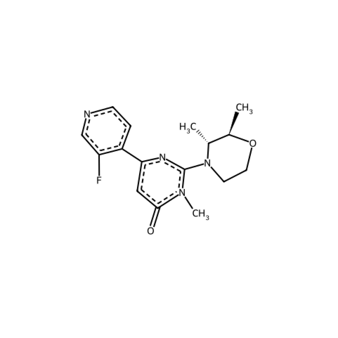 C[C@@H]1[C@@H](C)OCCN1c1nc(-c2ccncc2F)cc(=O)n1C